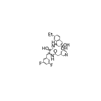 CCc1ccc2c(c1)[C@@H](NC[C@@H](O)[C@H](Cc1cc(F)cc(F)c1)NC(=O)Cc1cccnc1)CS(O)(O)C2